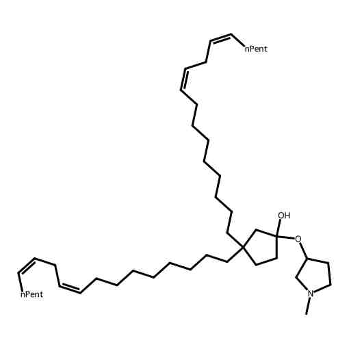 CCCCC/C=C\C/C=C\CCCCCCCCC1(CCCCCCCC/C=C\C/C=C\CCCCC)CCC(O)(OC2CCN(C)C2)C1